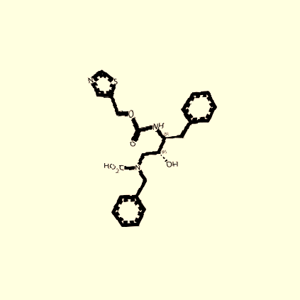 O=C(N[C@@H](Cc1ccccc1)[C@H](O)CN(Cc1ccccc1)C(=O)O)OCc1cncs1